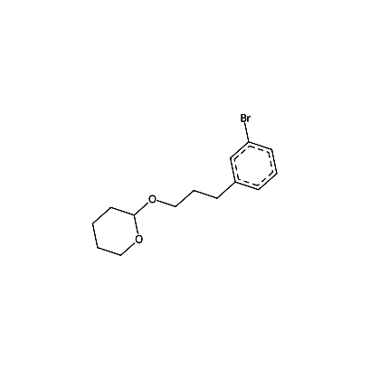 Brc1cccc(CCCOC2CCCCO2)c1